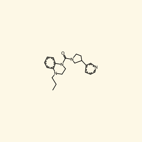 CCCN1CCN(C(=O)N2CCC(c3cccnc3)C2)c2ccccc21